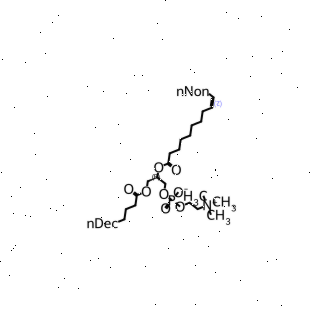 CCCCCCCCC/C=C\CCCCCCCC(=O)O[C@H](COC(=O)CCCCCCCCCCCCC)COP(=O)([O-])OCC[N+](C)(C)C